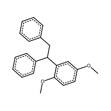 COc1ccc(OC)c(C(Cc2ccccc2)c2ccccc2)c1